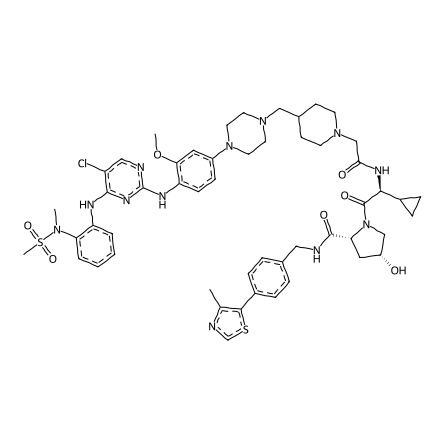 COc1cc(N2CCN(CC3CCN(CC(=O)N[C@H](C(=O)N4C[C@H](O)C[C@@H]4C(=O)NCc4ccc(-c5scnc5C)cc4)C4CC4)CC3)CC2)ccc1Nc1ncc(Cl)c(Nc2ccccc2N(C)S(C)(=O)=O)n1